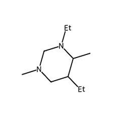 CCC1CN(C)CN(CC)C1C